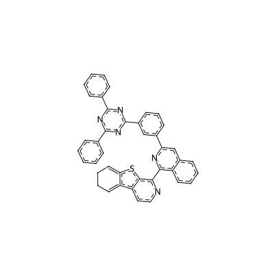 C1=c2sc3c(-c4nc(-c5cccc(-c6nc(-c7ccccc7)nc(-c7ccccc7)n6)c5)cc5ccccc45)nccc3c2=CCC1